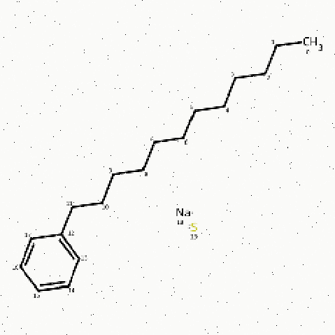 CCCCCCCCCCCCc1ccccc1.[Na].[S]